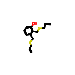 C=CCSCc1cccc(O)c1CSCC=C